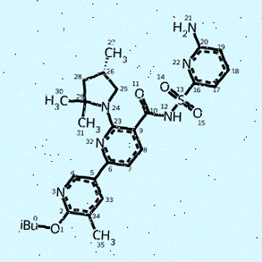 CCC(C)Oc1ncc(-c2ccc(C(=O)NS(=O)(=O)c3cccc(N)n3)c(N3C[C@@H](C)CC3(C)C)n2)cc1C